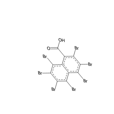 O=C(O)c1c(Br)c(Br)c(Br)c2c(Br)c(Br)c(Br)c(Br)c12